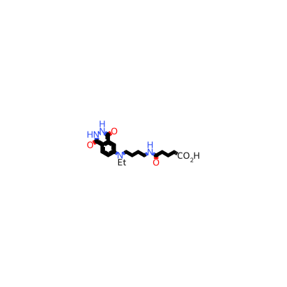 CCN(CCCCNC(=O)CCCC(=O)O)c1ccc2c(=O)[nH][nH]c(=O)c2c1